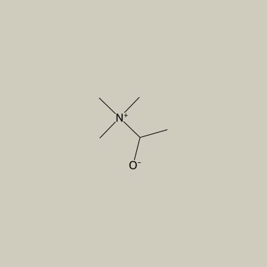 CC([O-])[N+](C)(C)C